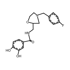 O=C(NCC1CN(Cc2ccc(F)cc2)CCO1)c1ccc(O)c(O)c1